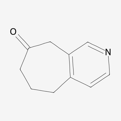 O=C1CCCc2ccncc2C1